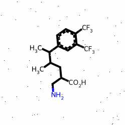 CC(CC(CN)C(=O)O)C(C)c1ccc(C(F)(F)F)c(C(F)(F)F)c1